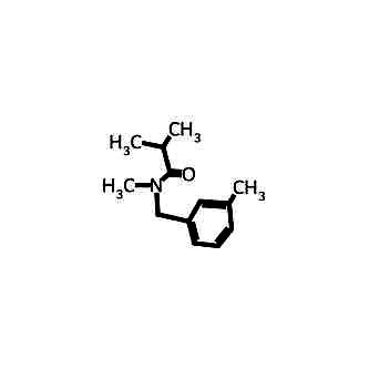 Cc1cccc(CN(C)C(=O)C(C)C)c1